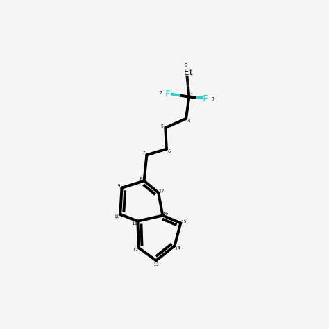 [CH2]CC(F)(F)CCCCc1ccc2ccccc2c1